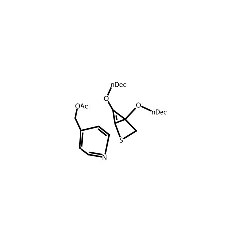 CC(=O)OCc1ccncc1.CCCCCCCCCCOC1=C2SCC12OCCCCCCCCCC